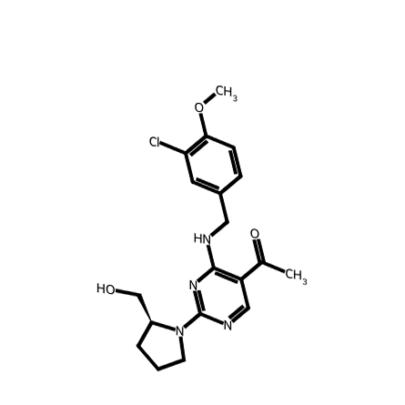 COc1ccc(CNc2nc(N3CCC[C@H]3CO)ncc2C(C)=O)cc1Cl